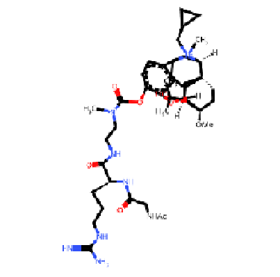 CO[C@]12CC[C@@]3(C[C@@H]1C(C)(C)O)[C@H]1Cc4ccc(OC(=O)N(C)CCNC(=O)[C@H](CCCNC(=N)N)NC(=O)CNC(C)=O)c5c4[C@@]3(CC[N+]1(C)CC1CC1)[C@H]2O5